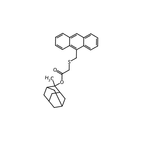 CC1(OC(=O)CSCc2c3ccccc3cc3ccccc23)C2CC3CC(C2)CC1C3